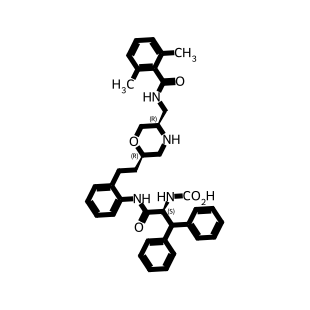 Cc1cccc(C)c1C(=O)NC[C@@H]1CO[C@H](CCc2ccccc2NC(=O)[C@@H](NC(=O)O)C(c2ccccc2)c2ccccc2)CN1